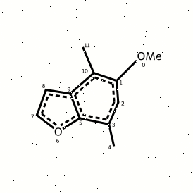 COc1cc(C)c2occc2c1C